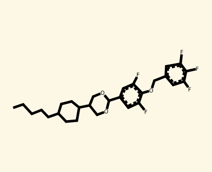 CCCCCC1CCC(C2COC(c3cc(F)c(OCc4cc(F)c(F)c(F)c4)c(F)c3)OC2)CC1